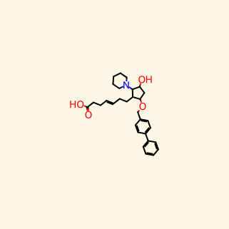 O=C(O)CC/C=C/CCC1C(OCc2ccc(-c3ccccc3)cc2)CC(O)C1N1CCCCC1